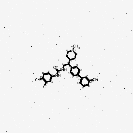 CN1CCC(C(CNC(=O)Nc2ccc(Cl)c(Cl)c2)c2ccc(-c3cccc(C#N)c3)cc2)CC1